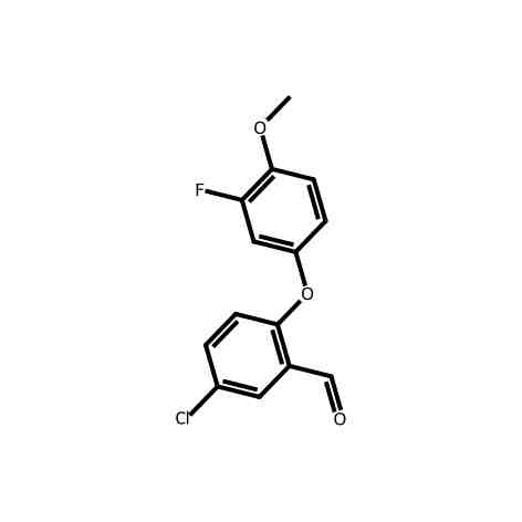 COc1ccc(Oc2ccc(Cl)cc2C=O)cc1F